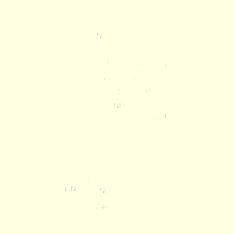 CCOC(C(=O)NCc1ccc(C(=N)NO)cc1)c1c(F)ccc(-c2ccccn2)c1F